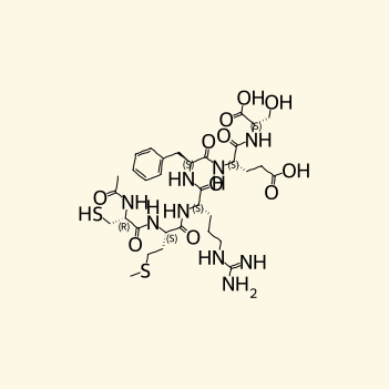 CSCC[C@H](NC(=O)[C@H](CS)NC(C)=O)C(=O)N[C@@H](CCCNC(=N)N)C(=O)N[C@@H](Cc1ccccc1)C(=O)N[C@@H](CCC(=O)O)C(=O)N[C@@H](CO)C(=O)O